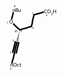 CCCCCCCCC#C[C@@H](CCC(=O)O)OCCCC